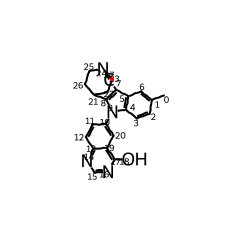 Cc1ccc2c(c1)c1c(n2-c2ccc3ncnc(O)c3c2)C2CCN(CC2)C1